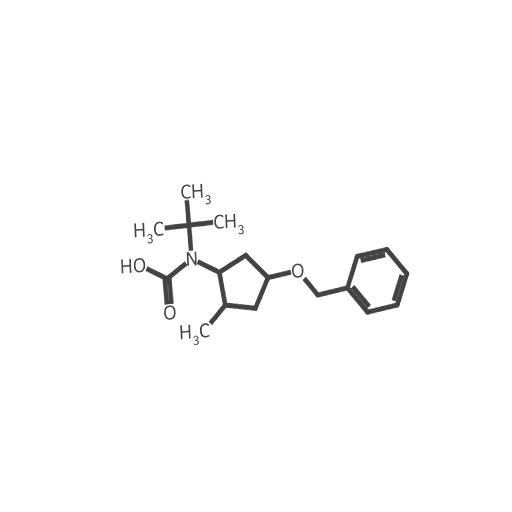 CC1CC(OCc2ccccc2)CC1N(C(=O)O)C(C)(C)C